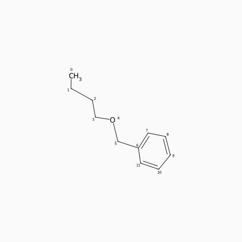 CCCCO[CH]c1ccccc1